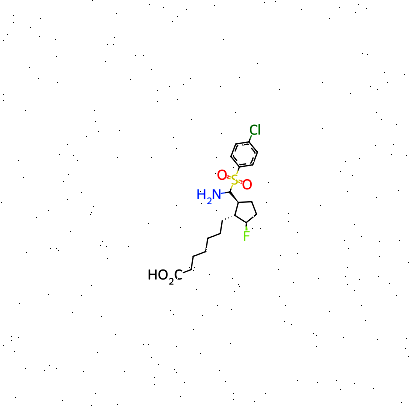 NC([C@H]1CC[C@@H](F)[C@@H]1CCCCCCC(=O)O)S(=O)(=O)c1ccc(Cl)cc1